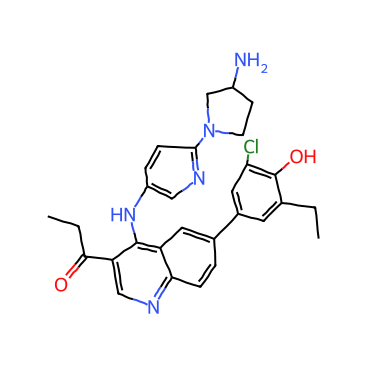 CCC(=O)c1cnc2ccc(-c3cc(Cl)c(O)c(CC)c3)cc2c1Nc1ccc(N2CCC(N)C2)nc1